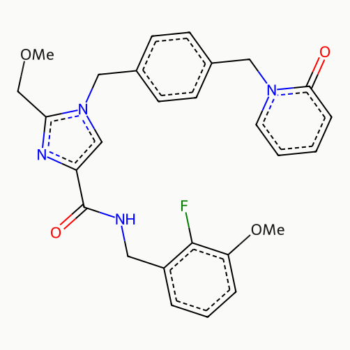 COCc1nc(C(=O)NCc2cccc(OC)c2F)cn1Cc1ccc(Cn2ccccc2=O)cc1